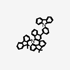 CC1(C)c2ccccc2-c2c(N(c3cccc4c3C(C)(C)c3ccccc3-4)c3ccc(-c4cccc(-n5c6ccccc6c6ccccc65)c4)c4ccccc34)cccc21